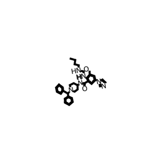 CCCCNC(=O)Nc1c(C)cc(-n2ccnc2)cc1C(=O)NC1CCN(C(c2ccccc2)c2ccccc2)CC1